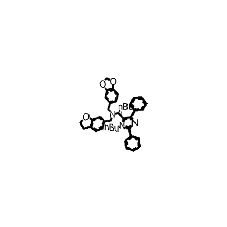 CCCC[C@@H](c1c(-c2ccccc2)nc(-c2ccccc2)n1CCCC)N(Cc1ccc2c(c1)OCC2)Cc1ccc2c(c1)OCO2